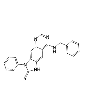 S=c1[nH]c2cc3c(NCc4ccccc4)ncnc3cc2n1-c1ccccc1